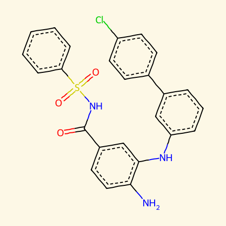 Nc1ccc(C(=O)NS(=O)(=O)c2ccccc2)cc1Nc1cccc(-c2ccc(Cl)cc2)c1